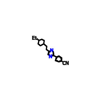 CCC1CCC(CCc2cnc(-c3ccc(C#N)cc3)cn2)CC1